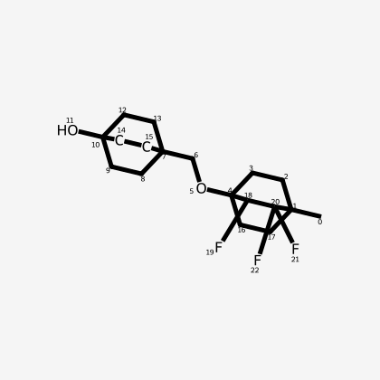 CC12CCC(OCC34CCC(O)(CC3)CC4)(CC1)C(F)C2(F)F